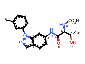 Cc1cccc(-n2ncc3ccc(NC(=O)[C@@H](NC(=O)O)[C@H](C)O)cc32)c1